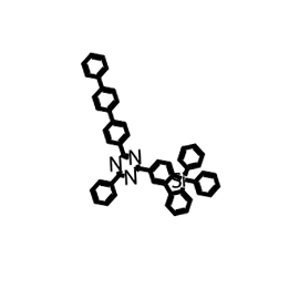 c1ccc(-c2ccc(-c3ccc(-c4nc(-c5ccccc5)nc(-c5ccc6c(c5)-c5ccccc5[Si]6(c5ccccc5)c5ccccc5)n4)cc3)cc2)cc1